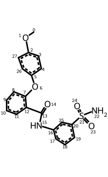 COc1ccc(Oc2ccccc2C(=O)Nc2cccc(S(N)(=O)=O)c2)cc1